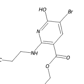 CCCNc1nc(O)c(Br)cc1C(=O)OCC